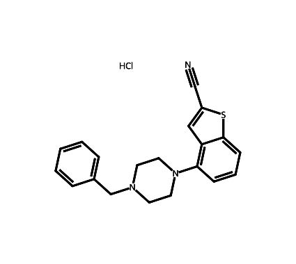 Cl.N#Cc1cc2c(N3CCN(Cc4ccccc4)CC3)cccc2s1